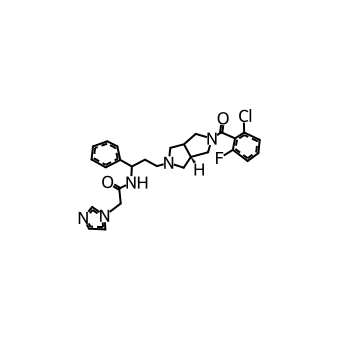 O=C(Cn1ccnc1)NC(CCN1CC2CN(C(=O)c3c(F)cccc3Cl)C[C@@H]2C1)c1ccccc1